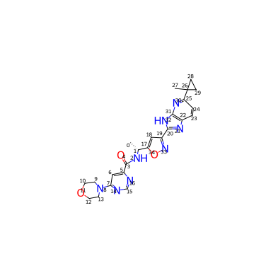 C[C@@H](NC(=O)c1cc(N2CCOCC2)ncn1)c1cc(-c2nc3ccc(C4(C)CC4)nc3[nH]2)no1